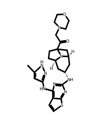 Cc1cc(Nc2nc(N[C@@H]3C[C@H]4CCC5(C(=O)CN6CCOCC6)C[C@@H](C3)N45)nc3sccc23)n[nH]1